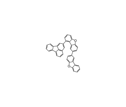 c1ccc2c(c1)-c1cccc3cc(-c4cccc5oc6ccc(-c7ccc8oc9ccccc9c8c7)cc6c45)cc-2c13